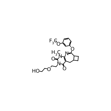 Cn1c2c(c(=O)n(CCOCCO)c1=O)CC1CCC1C(Oc1cccc(OC(F)(F)F)c1)=N2